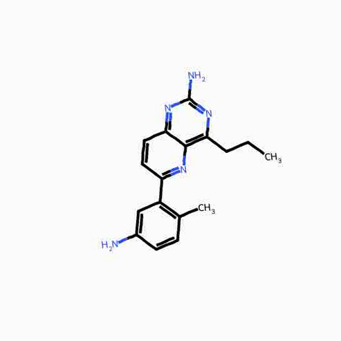 CCCc1nc(N)nc2ccc(-c3cc(N)ccc3C)nc12